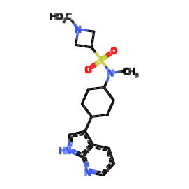 CN(C1CCC(c2c[nH]c3ncccc23)CC1)S(=O)(=O)C1CN(C(=O)O)C1